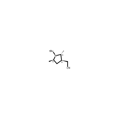 C[C@@H]1C[C@H](CC#N)[C@@H](C)N1C(C)(C)C